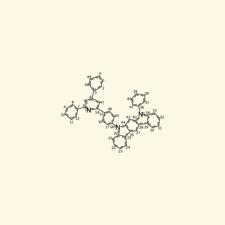 c1ccc(-c2cc(-c3ccccc3)nc(-c3ccc(-n4c5ccccc5c5cc6c7ccccc7n(-c7ccccc7)c6cc54)cc3)c2)cc1